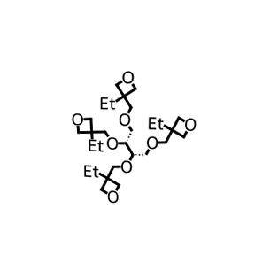 CCC1(COC[C@H](OCC2(CC)COC2)[C@@H](COCC2(CC)COC2)OCC2(CC)COC2)COC1